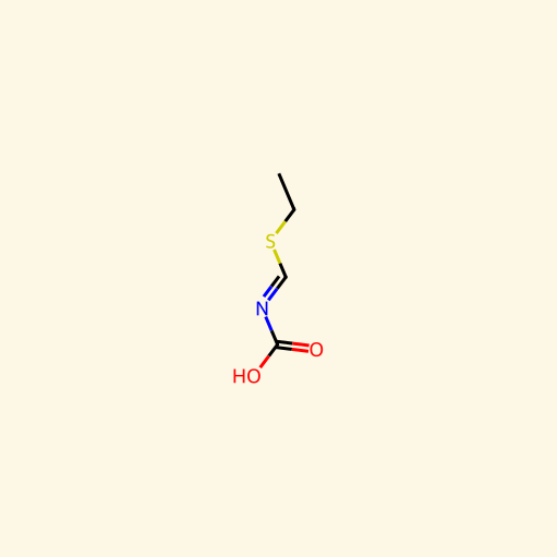 CCSC=NC(=O)O